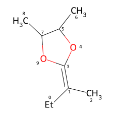 CCC(C)=C1OC(C)C(C)O1